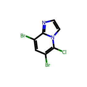 Clc1c(Br)cc(Br)c2nccn12